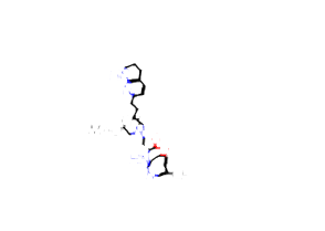 CO[C@H](C)CN(CCCCc1ccc2c(n1)NCCC2)CC[C@@H]1N/C2=N/C=C(C(F)(F)F)\C=C(\CC2)OC1=O